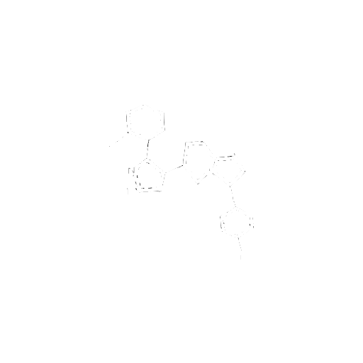 Fc1ccc(-c2cnc3ccc(-c4c[nH]nc4-c4ccccc4F)cn23)cc1